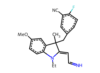 CCN1/C(=C\C=N)C(C)(Cc2ccc(F)c(C#N)c2)c2cc(OC)ccc21